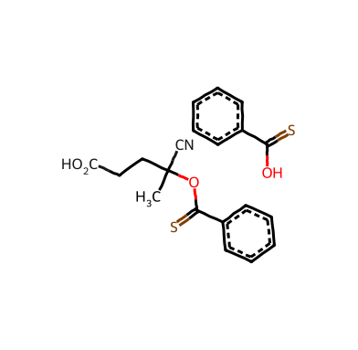 CC(C#N)(CCC(=O)O)OC(=S)c1ccccc1.OC(=S)c1ccccc1